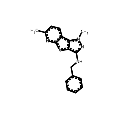 Cc1ccc2c(n1)sc1c(NCc3ccccc3)nn(C)c12